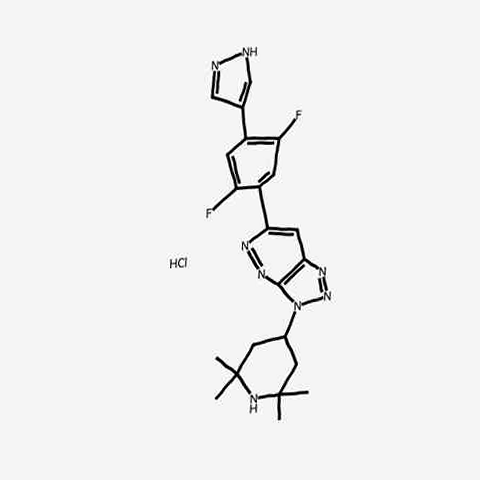 CC1(C)CC(n2nnc3cc(-c4cc(F)c(-c5cn[nH]c5)cc4F)nnc32)CC(C)(C)N1.Cl